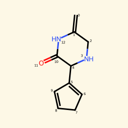 C=C1CNC(C2=CCC=C2)C(=O)N1